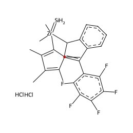 CC1=C(C)C(C)[C]([Zr]([CH3])([CH3])(=[SiH2])[CH]2C=C(c3c(F)c(F)c(F)c(F)c3F)c3ccccc32)=C1C.Cl.Cl